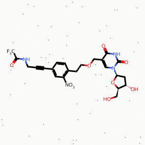 O=C(NCC#Cc1ccc(CCOCc2cn([C@H]3C[C@H](O)[C@@H](CO)O3)c(=O)[nH]c2=O)c([N+](=O)[O-])c1)C(F)(F)F